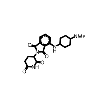 CNC1CCC(Nc2cccc3c2C(=O)N(C2CCC(=O)NC2=O)C3=O)CC1